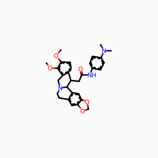 COc1ccc2c(c1OC)CN1CCc3cc4c(cc3C1C2CC(=O)Nc1ccc(N(C)C)cc1)OCO4